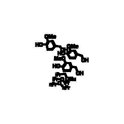 CC(C)COCC(C)C.CC(C)OC(C)C.CCCOCCC.COc1cc(CO)ccc1O.COc1cc(CO)ccc1O.COc1cc(CO)ccc1O